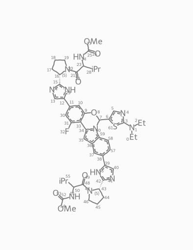 CCN(CC)c1ncc(C2Oc3cc(-c4cnc([C@@H]5CCCN5C(=O)C(NC(=O)OC)C(C)C)[nH]4)cc(F)c3-c3cc4cc(-c5cnc([C@@H]6CCCN6C(=O)C(NC(=O)OC)C(C)C)[nH]5)ccc4n32)s1